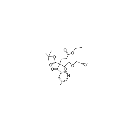 CCOC(=O)CCC(C(=O)COCC1CC1)(C(=O)OC(C)(C)C)C(=O)c1cncc(C)c1